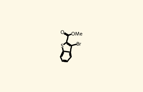 COC(=O)c1sc2ccccc2c1Br